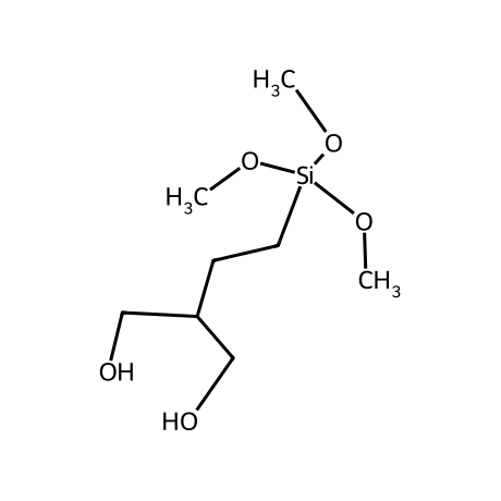 CO[Si](CCC(CO)CO)(OC)OC